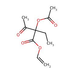 C=COC(=O)C(CC)(OC(C)=O)C(C)=O